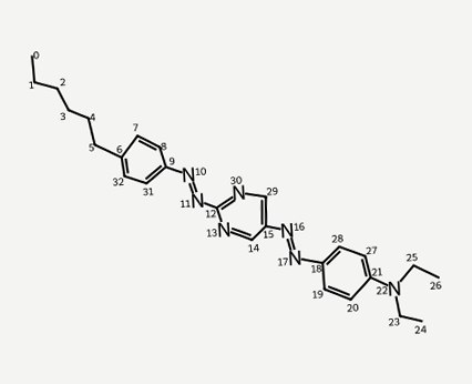 CCCCCCc1ccc(N=Nc2ncc(N=Nc3ccc(N(CC)CC)cc3)cn2)cc1